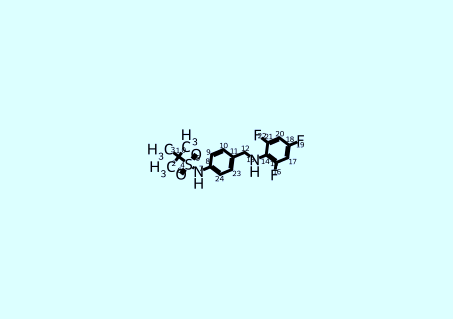 CC(C)(C)S(=O)(=O)Nc1ccc(CNc2c(F)cc(F)cc2F)cc1